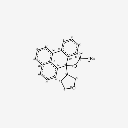 CC(C)(C)C(=O)OC1(C2CCOC2)c2ccccc2-c2cccc3cccc1c23